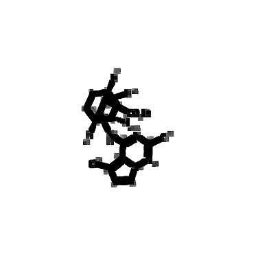 CCOC(=O)[C@H]1[C@H]2CC[C@H](CC2)[C@@H]1Nc1nc(Cl)nn2ccc(Cl)c12